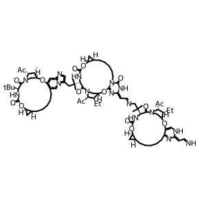 CC[C@@H]1[C@@H]2CN(C(=O)[C@H](C(C)(C)C/N=C/C=C3/N=C4O[C@H]5CN(C(=O)[C@H](C(C)(C)Cc6cnc7cc8c(cn67)CCCCC[C@@H]6C[C@H]6OC(=O)N[C@@H](C(C)(C)C)C(=O)N6C[C@H](O8)[C@@H](C)[C@H]6C(C)=O)NC(=O)O[C@@H]6C[C@H]6CCCCCN4C(=O)N3)[C@H](C(C)=O)[C@@H]5CC)NC(=O)O[C@@H]3C[C@H]3CCCCCC3=N/C(=C/C=N)NC=C3O2)[C@@H]1C(C)=O